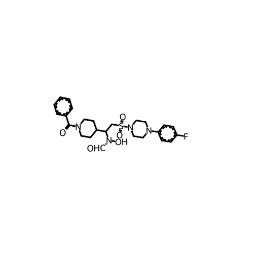 O=CN(O)C(CS(=O)(=O)N1CCN(c2ccc(F)cc2)CC1)C1CCN(C(=O)c2ccccc2)CC1